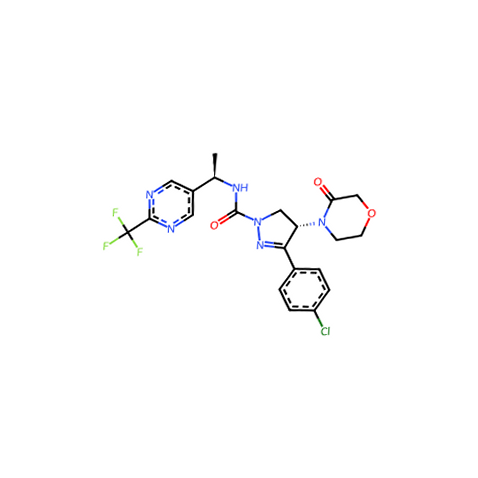 C[C@@H](NC(=O)N1C[C@H](N2CCOCC2=O)C(c2ccc(Cl)cc2)=N1)c1cnc(C(F)(F)F)nc1